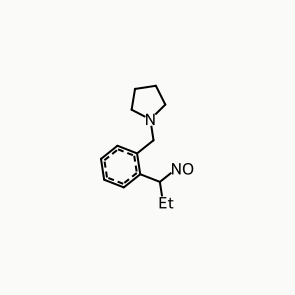 CCC(N=O)c1ccccc1CN1CCCC1